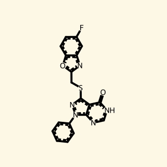 O=c1[nH]cnc2c1c(SCc1nc3cc(F)ccc3o1)nn2-c1ccccc1